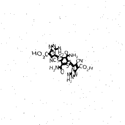 [C-]#[N+]c1c(C(=O)O)c2nnc(N)n2c1=C1Sc2c(c(C(N)=O)c3c(c2C(N)=O)SC(=c2c(C#N)c(C(=O)O)c4nnc(N)n24)S3)S1